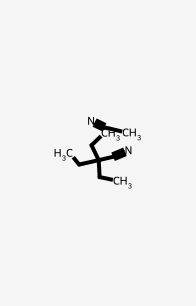 CC#N.CCC(C#N)(CC)CC